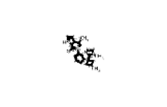 Cc1cn(-c2cccc([C@]3(c4nncn4C)C[C@@H](C)C3)c2)c(=O)c2[nH]ccc12